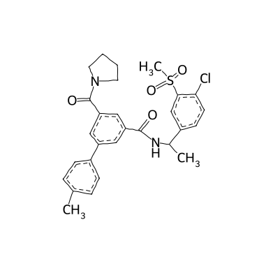 Cc1ccc(-c2cc(C(=O)NC(C)c3ccc(Cl)c(S(C)(=O)=O)c3)cc(C(=O)N3CCCC3)c2)cc1